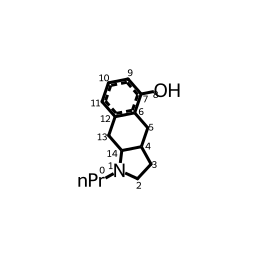 CCCN1CCC2Cc3c(O)cccc3CC21